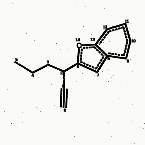 [C]#CC(CCC)c1cc2ccccc2o1